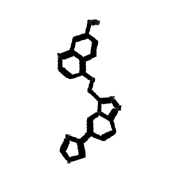 COc1ccc2c(OCc3nnc4ccc(-c5cscn5)cn34)ccnc2c1